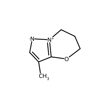 CC1=C[N][N+]2=C1OCCC2